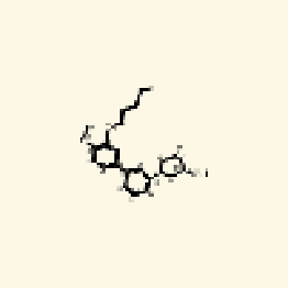 CCCCCOc1cc(-c2cccc([C@H]3COB(O)C3)c2)ccc1OC